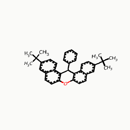 CC(C)(C)c1ccc2c3c(ccc2c1)Oc1ccc2cc(C(C)(C)C)ccc2c1C3c1ccccc1